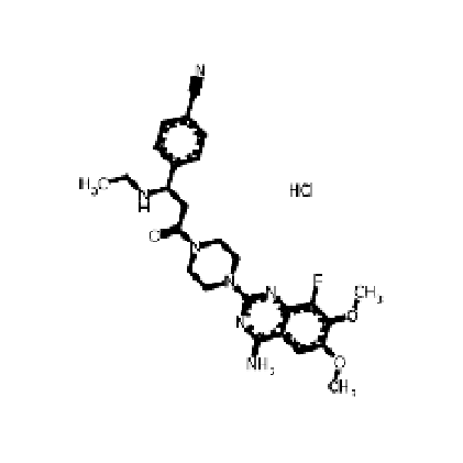 CCNC(CC(=O)N1CCN(c2nc(N)c3cc(OC)c(OC)c(F)c3n2)CC1)c1ccc(C#N)cc1.Cl